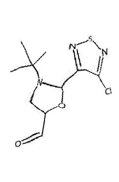 CC(C)(C)N1CC(C=O)OC1c1nsnc1Cl